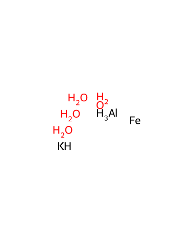 O.O.O.O.[AlH3].[Fe].[KH]